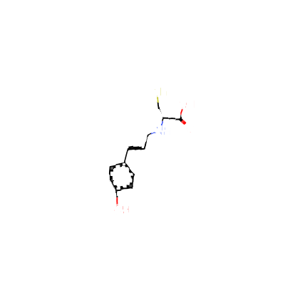 O=C(O)[C@H](CS)NC/C=C/c1ccc(O)cc1